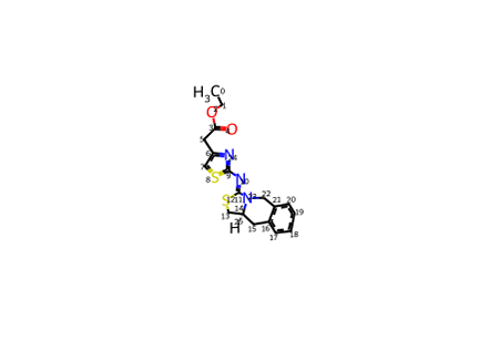 CCOC(=O)Cc1csc(N=C2SC[C@@H]3Cc4ccccc4CN23)n1